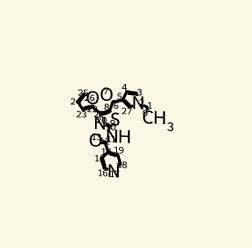 CCn1ccc(C(=O)c2sc(NC(=O)c3ccncc3)nc2-c2ccco2)c1